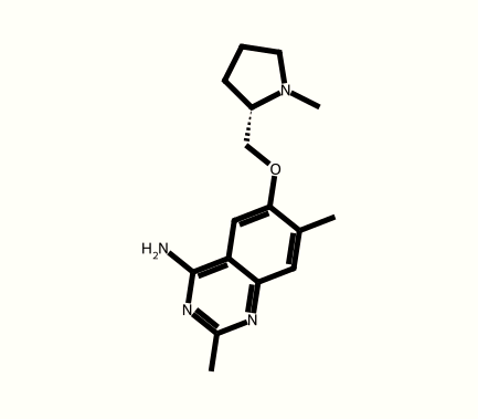 Cc1nc(N)c2cc(OC[C@@H]3CCCN3C)c(C)cc2n1